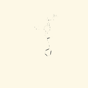 CC(C)(C)OC(=O)N1CCN(CC(=O)OCc2ccccc2)[C@H](CC#N)C1